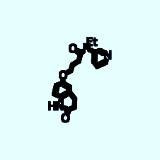 CCN(C(=O)CCCOc1ccc2c(c1)CCC(=O)N2)c1cccnc1